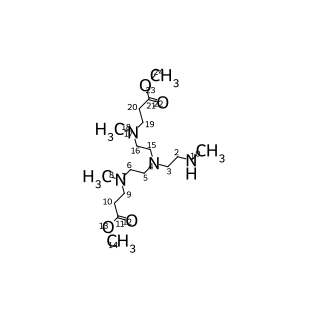 CNCCN(CCN(C)CCC(=O)OC)CCN(C)CCC(=O)OC